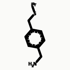 CC(C)SCc1ccc(CN)cc1